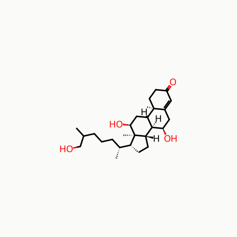 CC(CO)CCC[C@@H](C)[C@H]1CC[C@H]2[C@@H]3[C@H](O)CC4=CC(=O)CC[C@]4(C)[C@H]3C[C@H](O)[C@]12C